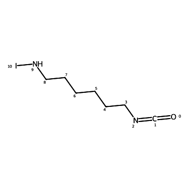 O=C=NCCCCCCNI